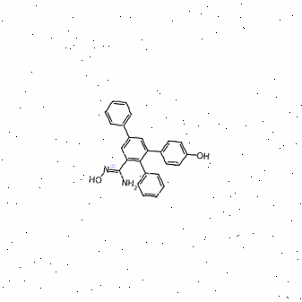 N/C(=N\O)c1cc(-c2ccccc2)cc(-c2ccc(O)cc2)c1-c1ccccc1